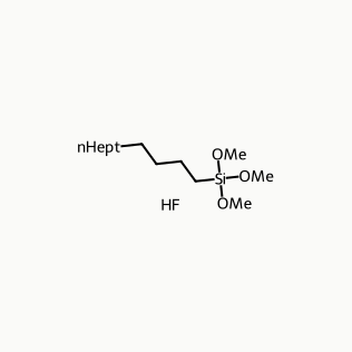 CCCCCCCCCCC[Si](OC)(OC)OC.F